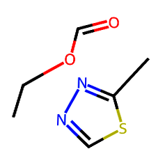 CCOC=O.Cc1nncs1